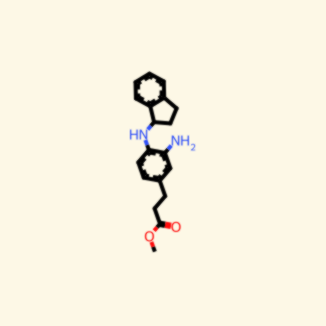 COC(=O)CCc1ccc(NC2CCc3ccccc32)c(N)c1